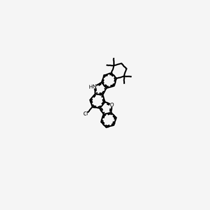 CC1(C)CCC(C)(C)c2cc3c(cc21)[nH]c1cc(Cl)c2c4ccccc4oc2c13